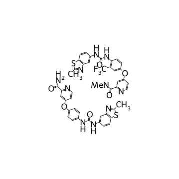 CNC(=O)c1cc(Oc2ccc(NC(=O)Nc3ccc4sc(C)nc4c3)c(C(F)(F)F)c2)ccn1.Cc1nc2cc(NC(=O)Nc3ccc(Oc4ccnc(C(N)=O)c4)cc3)ccc2s1